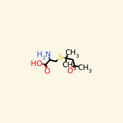 CC(=O)CC(C)(C)SCC(N)C(=O)O